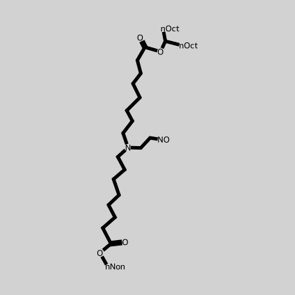 CCCCCCCCCOC(=O)CCCCCCCN(CCCCCCCC(=O)OC(CCCCCCCC)CCCCCCCC)CCN=O